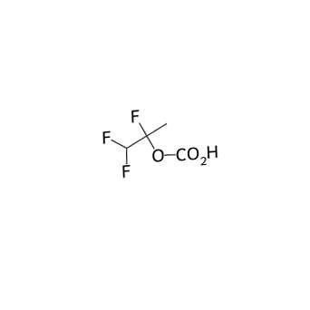 CC(F)(OC(=O)O)C(F)F